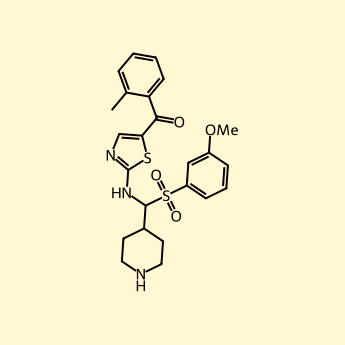 COc1cccc(S(=O)(=O)C(Nc2ncc(C(=O)c3ccccc3C)s2)C2CCNCC2)c1